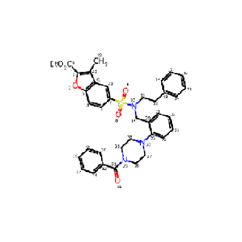 CCOC(=O)c1oc2ccc(S(=O)(=O)N(CCc3ccccc3)Cc3ccccc3N3CCN(C(=O)c4ccccc4)CC3)cc2c1C